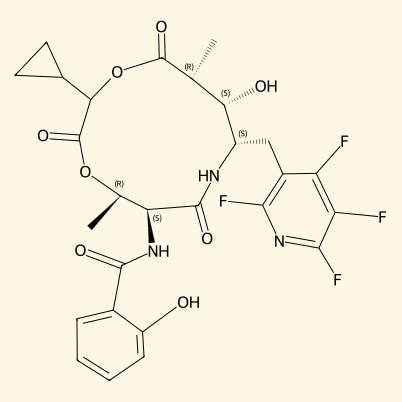 C[C@H]1OC(=O)C(C2CC2)OC(=O)[C@H](C)[C@H](O)[C@H](Cc2c(F)nc(F)c(F)c2F)NC(=O)[C@H]1NC(=O)c1ccccc1O